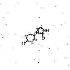 [O]c1ccc(-n2cc[nH]c2=O)cc1